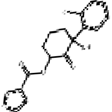 NC1(c2ccccc2Cl)CCCC(OC(=O)c2ccoc2)C1=O